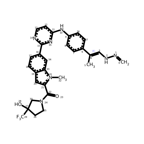 C=NN/C=C(\C)c1ccc(Nc2ccnc(-c3ccc4cc(C(=O)N5CCC(O)(C(F)(F)F)C5)n(C)c4c3)n2)cc1